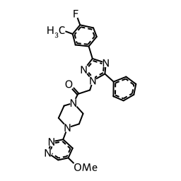 COc1cnnc(N2CCN(C(=O)Cn3nc(-c4ccc(F)c(C)c4)nc3-c3ccccc3)CC2)c1